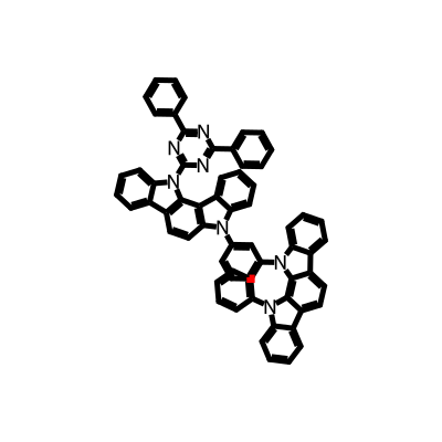 c1ccc(-c2nc(-c3ccccc3)nc(-n3c4ccccc4c4ccc5c(c6ccccc6n5-c5cccc(-n6c7ccccc7c7ccc8c9ccccc9n(-c9ccccc9)c8c76)c5)c43)n2)cc1